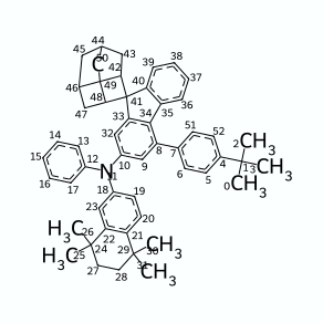 CC(C)(C)c1ccc(-c2cc(N(c3ccccc3)c3ccc4c(c3)C(C)(C)CCC4(C)C)cc3c2-c2ccccc2C32C3CC4CC5CC2C53C4)cc1